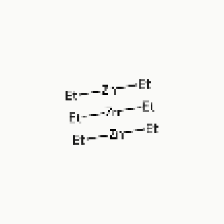 C[CH2][Zn][CH2]C.C[CH2][Zn][CH2]C.C[CH2][Zn][CH2]C